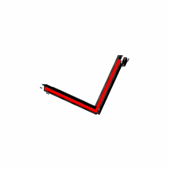 [Ta].[Ta].[Ta].[Ta].[Ta].[Ta].[Ta].[Ta].[Ta].[Ta].[Ti].[Ti].[Ti].[Ti].[Ti].[Ti].[Ti].[Ti].[Ti].[Ti].[Ti].[Ti].[Ti].[Ti].[Ti].[Ti].[Ti].[Ti].[Ti].[Ti].[Ti].[Ti].[Ti].[Ti].[Ti].[Ti].[Ti].[Ti].[Ti].[Ti].[Ti].[Ti].[Ti].[Ti].[Ti].[Ti].[Ti].[Ti].[Ti].[Ti].[Ti].[Ti].[Ti].[Ti].[Ti].[Ti].[Ti].[Ti].[Ti].[Ti].[Ti].[Ti].[Ti].[Ti].[Ti].[Ti].[Ti].[Ti].[Ti].[Ti].[Ti].[Ti].[Ti].[Ti].[Ti].[Ti].[Ti].[Ti].[Ti].[Ti].[Ti].[Ti].[Ti].[Ti].[Ti].[Ti].[Ti].[Ti].[Ti].[Ti].[Ti].[Ti].[Ti].[Ti].[Ti].[Ti].[Ti].[Ti].[Ti].[Ti]